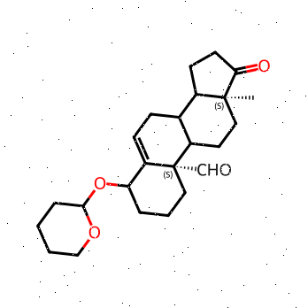 C[C@]12CCC3C(CC=C4C(OC5CCCCO5)CCC[C@@]43C=O)C1CCC2=O